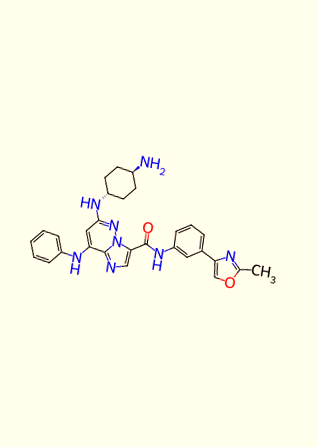 Cc1nc(-c2cccc(NC(=O)c3cnc4c(Nc5ccccc5)cc(N[C@H]5CC[C@H](N)CC5)nn34)c2)co1